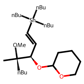 CCCC[C@@](C)(OC)[C@@H](C=[CH][Sn]([CH2]CCC)([CH2]CCC)[CH2]CCC)OC1CCCCO1